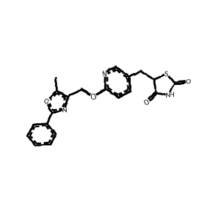 Cc1oc(-c2ccccc2)nc1COc1ccc(CC2SC(=O)NC2=O)cn1